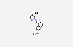 CC(C)Oc1ccc2c(c1)CCCC2CNc1cc(C(=O)O)ccn1